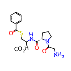 NCC(=O)N1CCC[C@H]1C(=O)NC(CSC(=O)c1ccccc1)C(=O)O